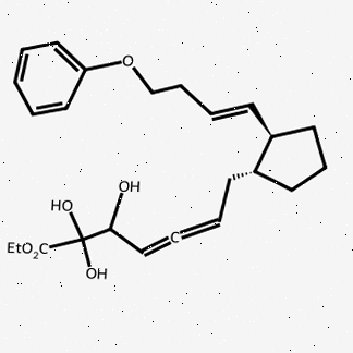 CCOC(=O)C(O)(O)C(O)C=C=CC[C@H]1CCC[C@@H]1/C=C/CCOc1ccccc1